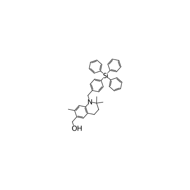 Cc1cc2c(cc1CO)CCC(C)(C)N2Cc1ccc([Si](c2ccccc2)(c2ccccc2)c2ccccc2)cc1